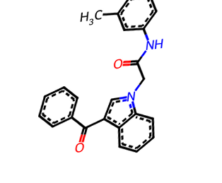 Cc1cccc(NC(=O)Cn2cc(C(=O)c3ccccc3)c3ccccc32)c1